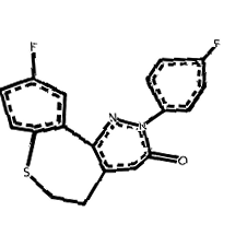 O=c1cc2c(nn1-c1ccc(F)cc1)-c1cc(F)ccc1SCC2